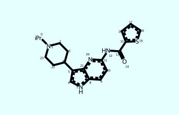 CC(C)N1CCC(c2c[nH]c3ccc(NC(=O)c4cccs4)nc23)CC1